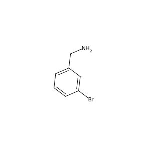 NCc1[c]c(Br)ccc1